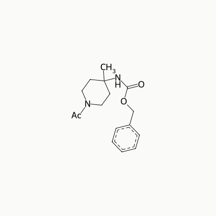 CC(=O)N1CCC(C)(NC(=O)OCc2ccccc2)CC1